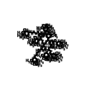 CN1C(C)(C)CC(CCCCNc2nc(OC3CC(C)(C)N(C)C(C)(C)C3)nc(N(CCN(c3nc(NCCCCC4CC(C)(C)N(C)C(C)(C)C4)nc(OC4CC(C)(C)N(C)C(C)(C)C4)n3)C3CC(C)(C)N(C)C(C)(C)C3)CCN(c3nc(NCCCCC4CC(C)(C)N(C)C(C)(C)C4)nc(OC4CC(C)(C)N(C)C(C)(C)C4)n3)C3CC(C)(C)N(C)C(C)(C)C3)n2)CC1(C)C